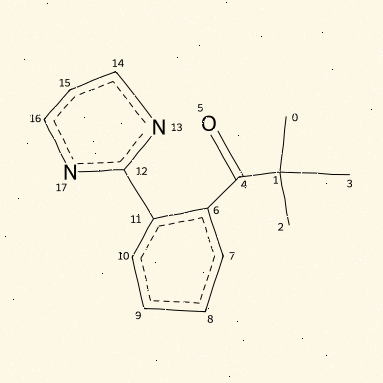 CC(C)(C)C(=O)c1ccccc1-c1ncccn1